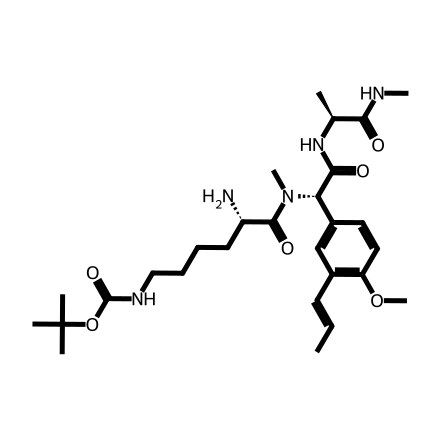 C/C=C/c1cc([C@@H](C(=O)N[C@@H](C)C(=O)NC)N(C)C(=O)[C@@H](N)CCCCNC(=O)OC(C)(C)C)ccc1OC